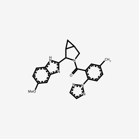 COc1ccc2[nH]c(C3C4CC4CN3C(=O)c3cc(C)ccc3-n3nccn3)nc2c1